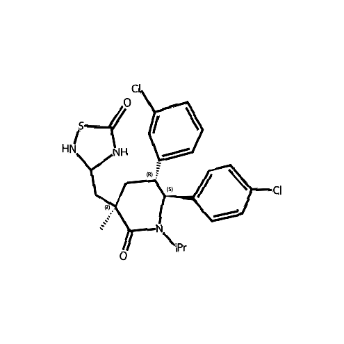 CC(C)N1C(=O)[C@@](C)(CC2NSC(=O)N2)C[C@H](c2cccc(Cl)c2)[C@H]1c1ccc(Cl)cc1